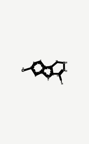 Clc1ccc2c3c(sc2c1)C(I)=NOC3